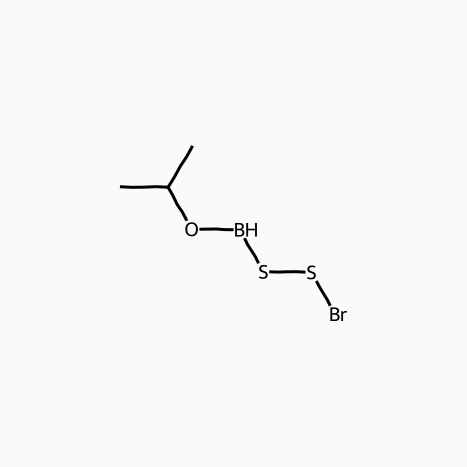 CC(C)OBSSBr